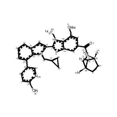 COc1cc(C(=O)N2C[C@H]3CC[C@@H]2[C@@H]3N)cc2nc(-c3cc4cccc(-c5ccc(O)nc5)c4n3CC3CC3)n(C)c12